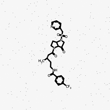 CC(CCNC(=O)c1ccc(C(F)(F)F)cc1)CC(=O)N1CCC2C1C(=O)CN2S(=O)(=O)Cc1cccnc1